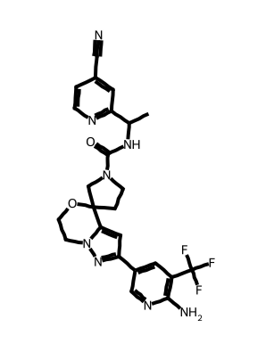 CC(NC(=O)N1CCC2(C1)OCCn1nc(-c3cnc(N)c(C(F)(F)F)c3)cc12)c1cc(C#N)ccn1